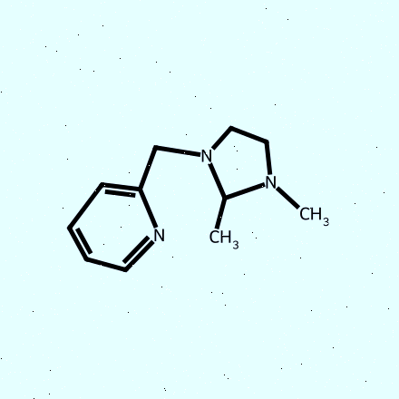 CC1N(C)CCN1Cc1ccccn1